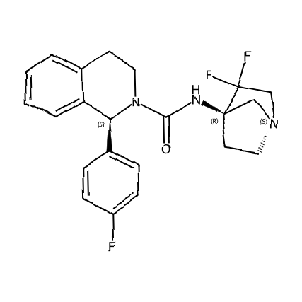 O=C(N[C@@]12CC[N@@](CC1(F)F)C2)N1CCc2ccccc2[C@@H]1c1ccc(F)cc1